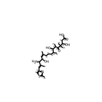 C/C(=C/C(O)C(N)/C(C)=C/c1csc(C)n1)CCCC(C)C(O)C(C)C(=O)C(C)(C)C(O)CC(=O)O